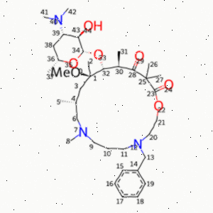 CO[C@]1(C)C[C@@H](C)CN(C)CCCN(Cc2ccccc2)CCOC(=O)C(C)(C)C(=O)[C@H](C)[C@H]1O[C@@H]1O[C@H](C)C[C@H](N(C)C)[C@H]1O